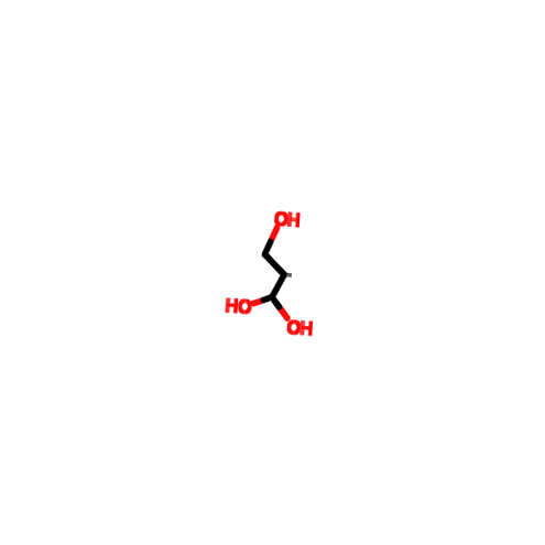 OC[CH]C(O)O